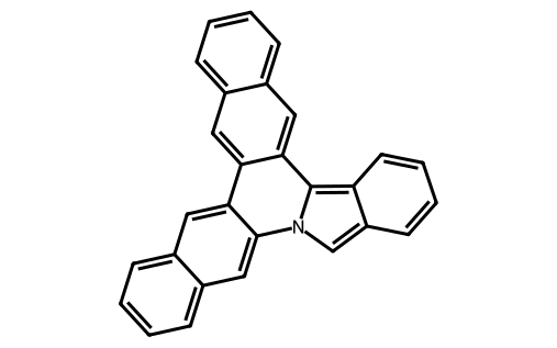 c1ccc2cc3c(cc2c1)c1cc2ccccc2cc1n1cc2ccccc2c31